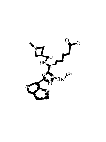 CCC(=O)CCCCC[C@H](NC(=O)C1CN(C)C1)c1nnc(-c2cncc3cccnc23)o1.O=CO